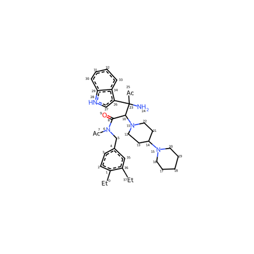 CCc1ccc(CN(C(C)=O)C(=O)C(N2CCC(N3CCCCC3)CC2)C(N)(C(C)=O)c2c[nH]c3ccccc23)cc1CC